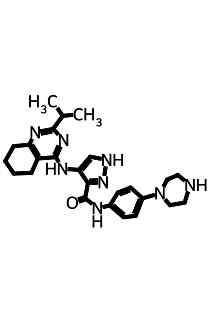 CC(C)c1nc2c(c(Nc3c[nH]nc3C(=O)Nc3ccc(N4CCNCC4)cc3)n1)CCCC2